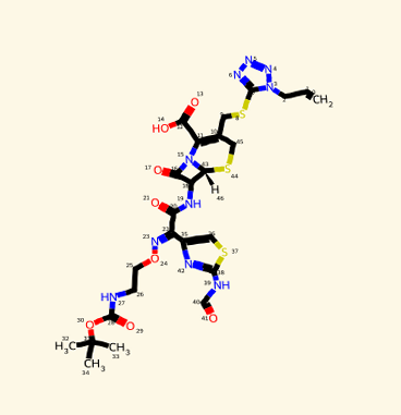 C=CCn1nnnc1SCC1=C(C(=O)O)N2C(=O)C(NC(=O)/C(=N/OCCNC(=O)OC(C)(C)C)c3csc(NC=O)n3)[C@H]2SC1